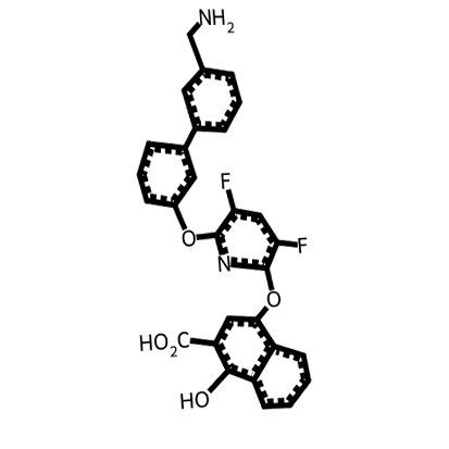 NCc1cccc(-c2cccc(Oc3nc(Oc4cc(C(=O)O)c(O)c5ccccc45)c(F)cc3F)c2)c1